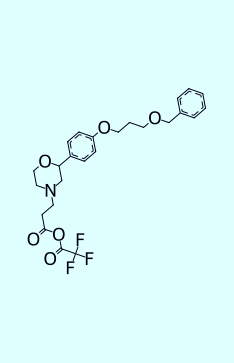 O=C(CCN1CCOC(c2ccc(OCCCOCc3ccccc3)cc2)C1)OC(=O)C(F)(F)F